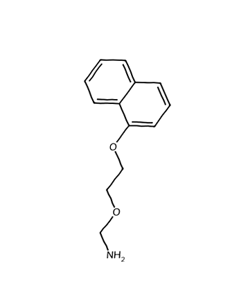 NCOCCOc1cccc2ccccc12